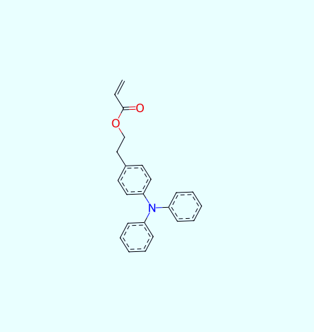 C=CC(=O)OCCc1ccc(N(c2ccccc2)c2ccccc2)cc1